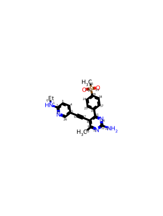 CCNc1ccc(C#Cc2c(C)nc(N)nc2-c2ccc(S(C)(=O)=O)cc2)cn1